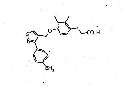 Bc1ccc(-c2nscc2COc2ccc(CCC(=O)O)c(C)c2C)cc1